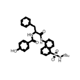 CC(C)(C)NS(=O)(=O)c1cccc2c(NC(=O)C(Cc3ccccc3)NC(=O)c3ccc(O)cc3)cccc12